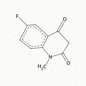 CN1C(=O)CC(=O)c2cc(F)ccc21